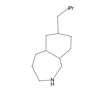 CC(C)CC1CCC2CNCCCC2C1